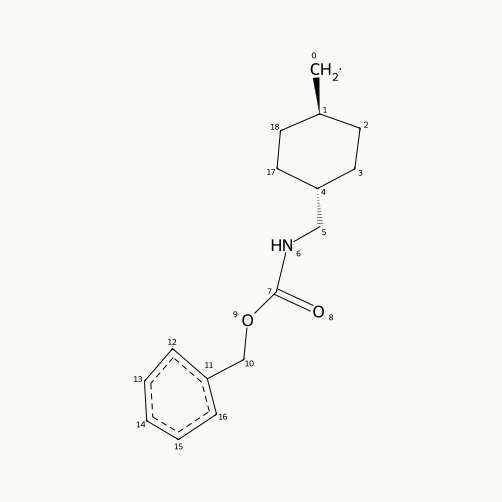 [CH2][C@H]1CC[C@H](CNC(=O)OCc2ccccc2)CC1